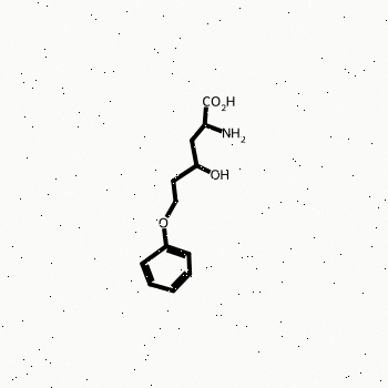 NC(CC(O)CCOc1ccccc1)C(=O)O